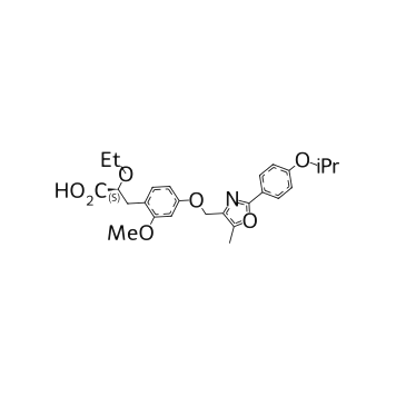 CCO[C@@H](Cc1ccc(OCc2nc(-c3ccc(OC(C)C)cc3)oc2C)cc1OC)C(=O)O